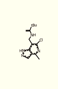 C=C(NCc1c(Cl)nc(C)c2cn[nH]c12)C(C)(C)C